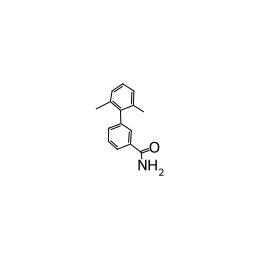 Cc1cccc(C)c1-c1cccc(C(N)=O)c1